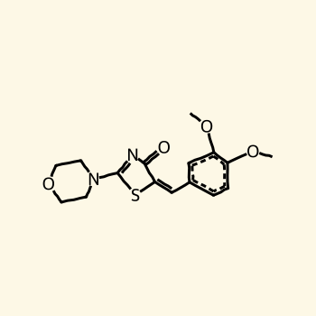 COc1ccc(C=C2SC(N3CCOCC3)=NC2=O)cc1OC